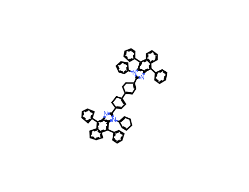 C1=CC(n2c(C3=CC=C(C4=CC=C(c5nc6c(-c7ccccc7)c7ccccc7c(-c7ccccc7)c6n5-c5ccccc5)CC4)CC3)nc3c(-c4ccccc4)c4ccccc4c(-c4ccccc4)c32)=CCC1